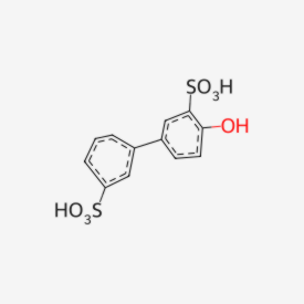 O=S(=O)(O)c1cccc(-c2ccc(O)c(S(=O)(=O)O)c2)c1